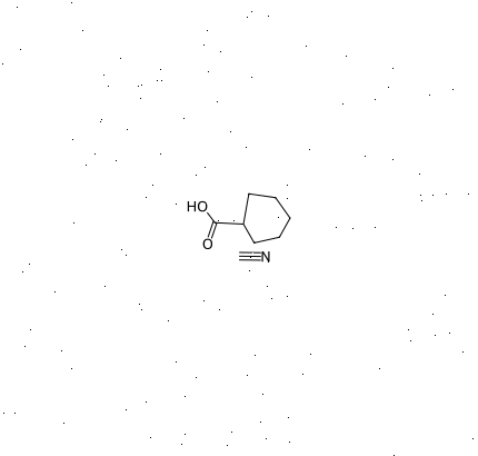 C#N.O=C(O)C1CCCCC1